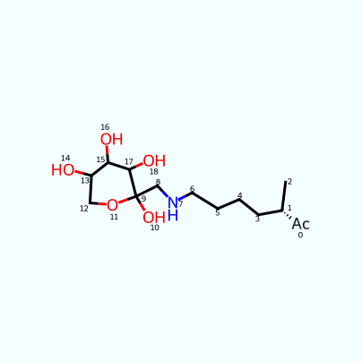 CC(=O)[C@@H](C)CCCCNCC1(O)OCC(O)C(O)C1O